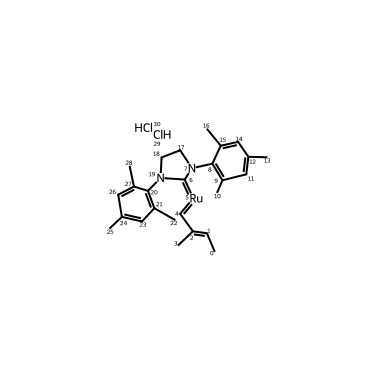 CC=C(C)[CH]=[Ru]=[C]1N(c2c(C)cc(C)cc2C)CCN1c1c(C)cc(C)cc1C.Cl.Cl